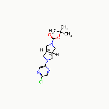 CC(C)(C)OC(=O)N1C[C@@H]2CN(c3cnc(Cl)cn3)C[C@H]2C1